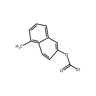 CCC(=O)Oc1ccc2c(C)cccc2c1